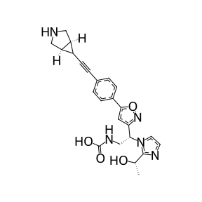 C[C@H](O)c1nccn1[C@H](CNC(=O)O)c1cc(-c2ccc(C#CC3[C@H]4CNC[C@@H]34)cc2)on1